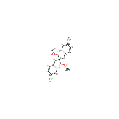 CC(C)OCC(COC(C)C)(Cc1ccc(Br)cc1)Cc1ccc(Br)cc1